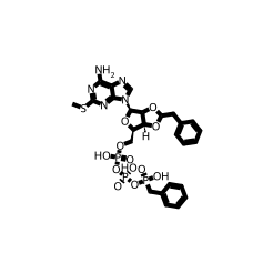 CSc1nc(N)c2ncn([C@@H]3O[C@H](COP(=O)(O)OP(=O)(O)OP(=O)(O)Cc4ccccc4)[C@@H]4OC(Cc5ccccc5)OC43)c2n1